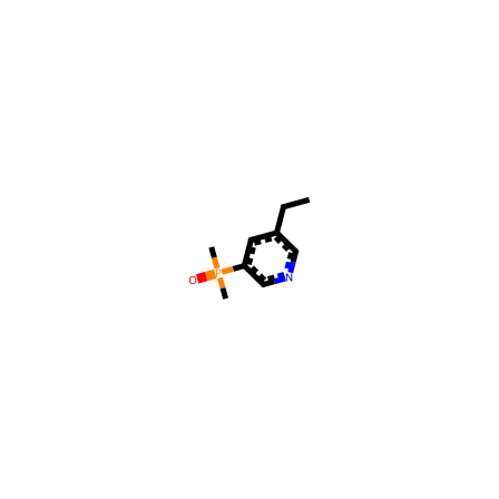 CCc1cncc(P(C)(C)=O)c1